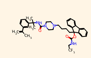 C=C(C)c1cccc(C(C)(C)NC(=O)N2CCN(CCCCC3(OC(=O)NCC(F)(F)F)c4ccccc4-c4ccccc43)CC2)c1